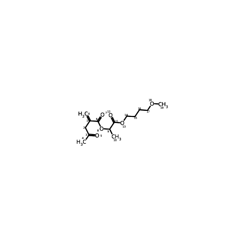 C=C(CC(C)=O)C(=O)OC(C)C(=O)OCCCCOC